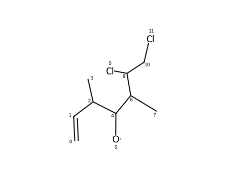 C=CC(C)C([O])C(C)C(Cl)CCl